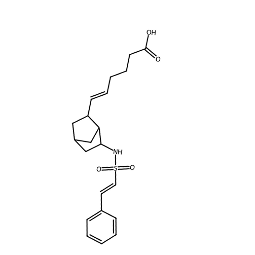 O=C(O)CCCC=CC1CC2CC(NS(=O)(=O)C=Cc3ccccc3)C1C2